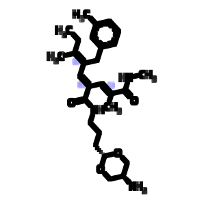 CC/C(C)=C(/C=C(\C=C(/C)C(=O)NC)C(=O)NCCC[C@H]1OC[C@H](N)CO1)Cc1cccc(C)c1